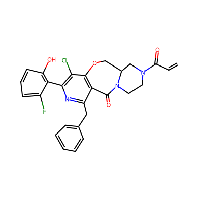 C=CC(=O)N1CCN2C(=O)c3c(Cc4ccccc4)nc(-c4c(O)cccc4F)c(Cl)c3OCC2C1